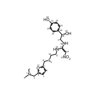 CN(C)Cc1ccc(CSCCNC(=C[N+](=O)[O-])NC[C@H](O)c2ccc(O)cc2)o1